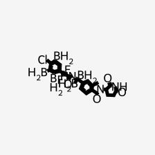 Bc1cc(C(F)(F)C(=O)NC(B)(B)c2ccc3c(c2)CN(C2CCC(=O)NC2=O)C3=O)c(B)c(B)c1Cl